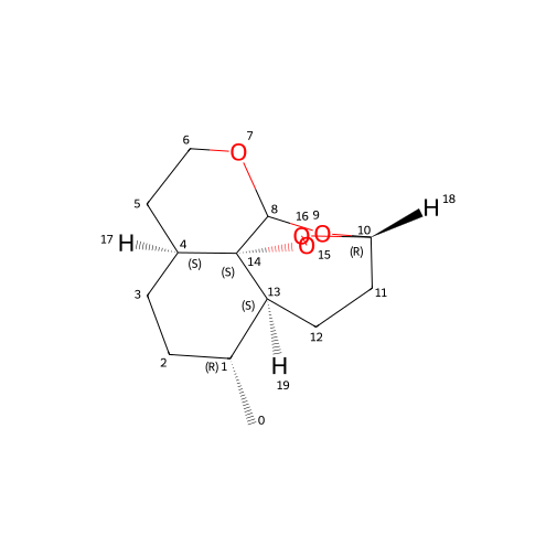 C[C@@H]1CC[C@H]2CCOC3O[C@H]4CC[C@@H]1[C@]32OO4